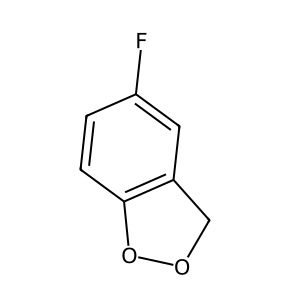 Fc1ccc2c(c1)COO2